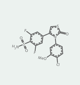 COc1cc(-n2c(-c3cc(F)c(S(N)(=O)=O)c(F)c3)csc2=O)ccc1Cl